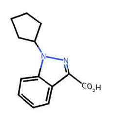 O=C(O)c1nn(C2CCCC2)c2ccccc12